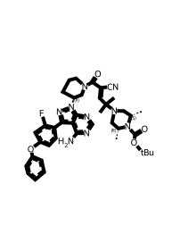 C[C@@H]1CN(C(C)(C)C=C(C#N)C(=O)N2CCC[C@@H](n3nc(-c4ccc(Oc5ccccc5)cc4F)c4c(N)ncnc43)C2)C[C@H](C)N1C(=O)OC(C)(C)C